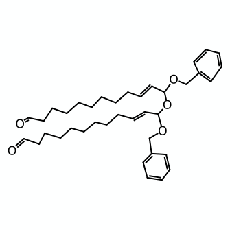 O=CCCCCCCCCC=CC(OCc1ccccc1)OC(C=CCCCCCCCCC=O)OCc1ccccc1